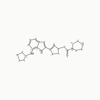 O=C(CC1CSC(c2cc3cccc(NC4CCCC4)c3[nH]2)=N1)N1CCOCC1